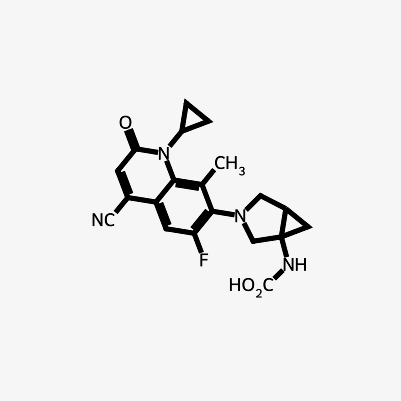 Cc1c(N2CC3CC3(NC(=O)O)C2)c(F)cc2c(C#N)cc(=O)n(C3CC3)c12